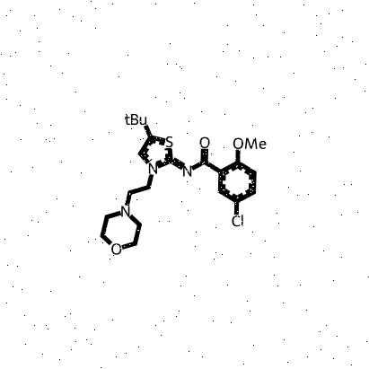 COc1ccc(Cl)cc1C(=O)/N=c1\sc(C(C)(C)C)cn1CCN1CCOCC1